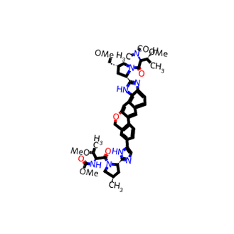 COC[C@H]1C[C@@H](c2nc3ccc4cc5c(cc4c3[nH]2)OCc2cc(-c3cnc([C@@H]4C[C@H](C)CN4C(=O)[C@@H](NC(=O)OC)C(C)OC)[nH]3)ccc2-5)N(C(=O)[C@H]([C@@H](C)OC)N(C)C(=O)O)C1